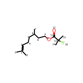 CC(C)=CCCC(C)CCOC(=O)C(C)(C)F